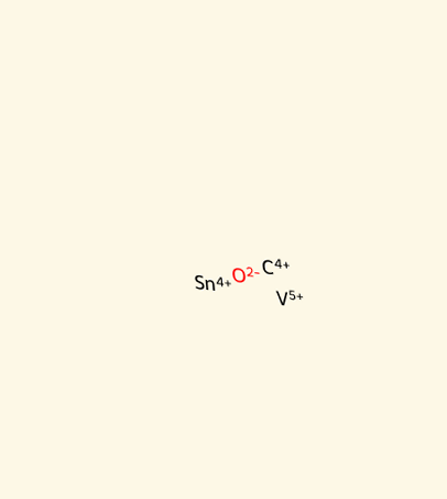 [C+4].[O-2].[Sn+4].[V+5]